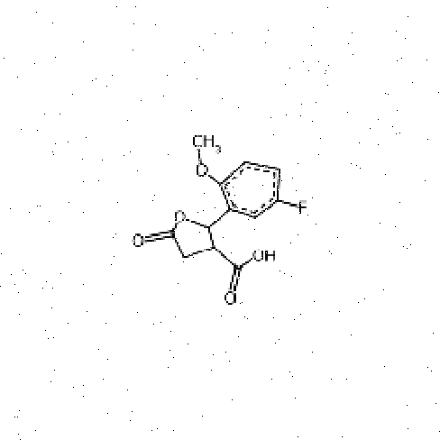 COc1ccc(F)cc1C1OC(=O)CC1C(=O)O